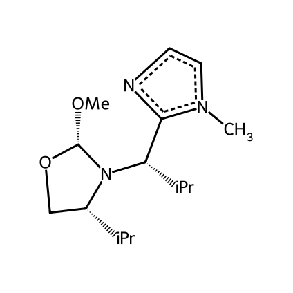 CO[C@H]1OC[C@@H](C(C)C)N1[C@H](c1nccn1C)C(C)C